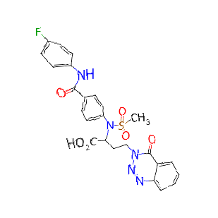 CS(=O)(=O)N(c1ccc(C(=O)Nc2ccc(F)cc2)cc1)C(CCn1nnc2ccccc2c1=O)C(=O)O